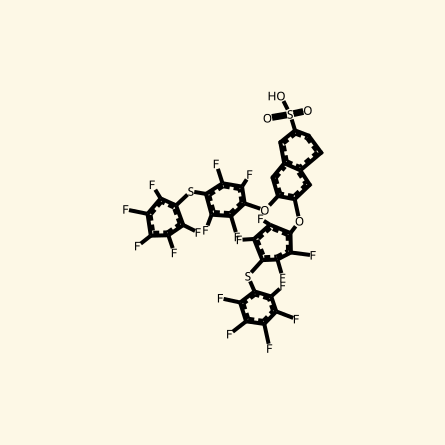 O=S(=O)(O)c1ccc2cc(Oc3c(F)c(F)c(Sc4c(F)c(F)c(F)c(F)c4F)c(F)c3F)c(Oc3c(F)c(F)c(Sc4c(F)c(F)c(F)c(F)c4F)c(F)c3F)cc2c1